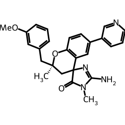 COc1cccc(C[C@]2(C)CC3(N=C(N)N(C)C3=O)c3cc(-c4cccnc4)ccc3O2)c1